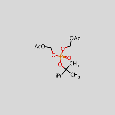 CC(=O)OCOP(=O)(OCOC(C)=O)OC(C)(C)C(C)C